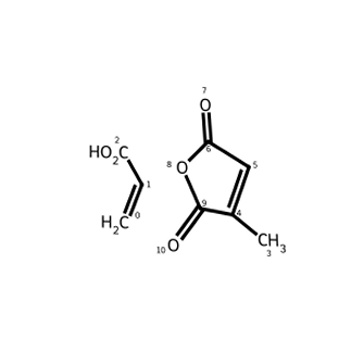 C=CC(=O)O.CC1=CC(=O)OC1=O